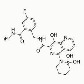 CC(C)NC(=O)c1cc(F)ccc1CNC(=O)c1nc(N2CCCCS2(O)O)c2cccnc2c1O